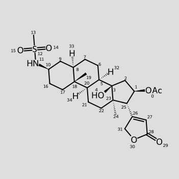 CC(=O)O[C@@H]1C[C@@]2(O)[C@@H]3CC[C@@H]4C[C@H](NS(C)(=O)=O)CC[C@@]4(C)[C@@H]3CC[C@]2(C)[C@H]1C1=CC(=O)OC1